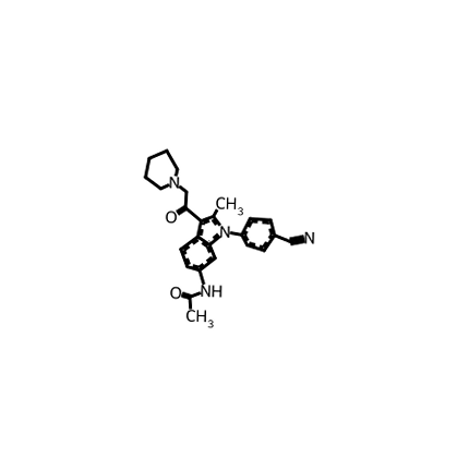 CC(=O)Nc1ccc2c(C(=O)CN3CCCCC3)c(C)n(-c3ccc(C#N)cc3)c2c1